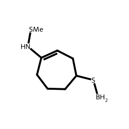 BSC1CC=C(NSC)CCC1